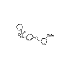 COc1cccc(COc2ccc(NS(=O)(=O)N3CCCCC3)cc2)c1